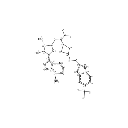 CC(C)N(CC1O[C@@H](n2cnc3c(N)ccnc32)C(O)[C@@H]1O)C1CC(CCc2nc3cc(C(C)(C)C)ccc3[nH]2)C1